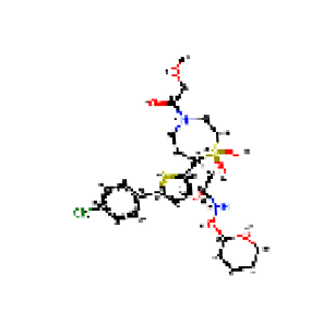 COCC(=O)N1CC[C@](CC(=O)NOC2CCCCO2)(c2ccc(-c3ccc(Cl)cc3)s2)S(=O)(=O)CC1